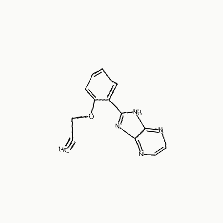 C#CCOc1ccccc1-c1nc2nccnc2[nH]1